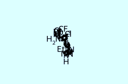 CCc1n[nH]c2ncnc(N3CCN(c4cc(Cl)cc(C(N)C(OC(=O)C(F)(F)F)N(C)CC)c4C)CC3)c12